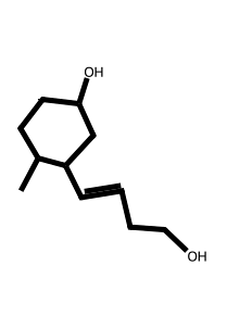 CC1C[CH]C(O)CC1C=CCCO